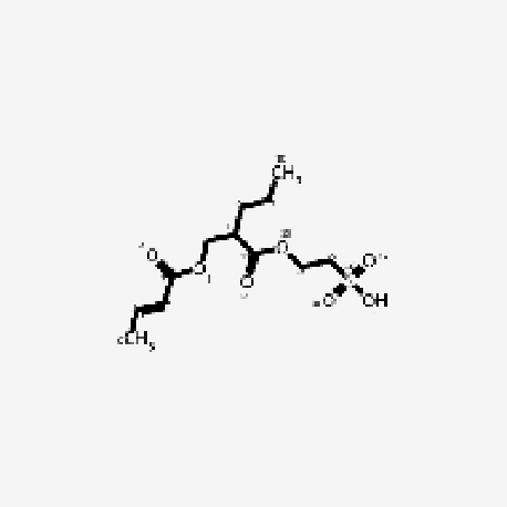 CC=CC(=O)OCC(CCC)C(=O)OCCS(=O)(=O)O